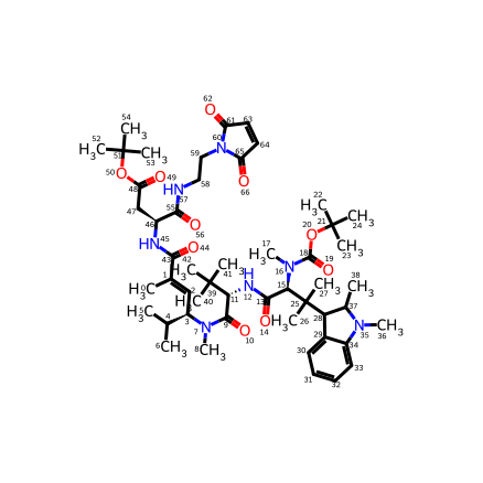 C/C(=C\[C@H](C(C)C)N(C)C(=O)[C@@H](NC(=O)[C@@H](N(C)C(=O)OC(C)(C)C)C(C)(C)C1c2ccccc2N(C)C1C)C(C)(C)C)C(=O)N[C@@H](CC(=O)OC(C)(C)C)C(=O)NCCN1C(=O)C=CC1=O